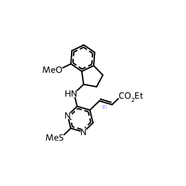 CCOC(=O)/C=C/c1cnc(SC)nc1NC1CCc2cccc(OC)c21